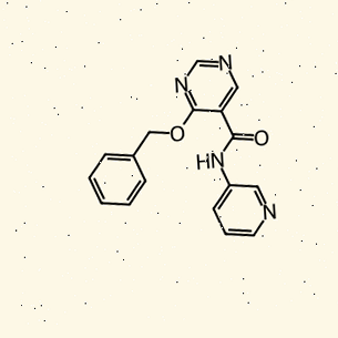 O=C(Nc1cccnc1)c1cncnc1OCc1ccccc1